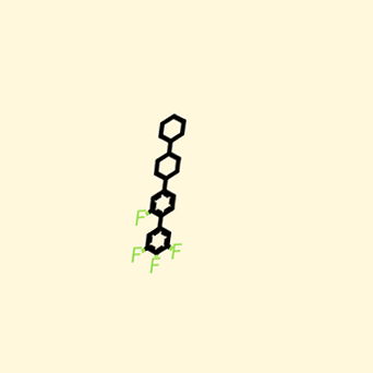 Fc1cc(C2CCC(C3CCCCC3)CC2)ccc1-c1cc(F)c(F)c(F)c1